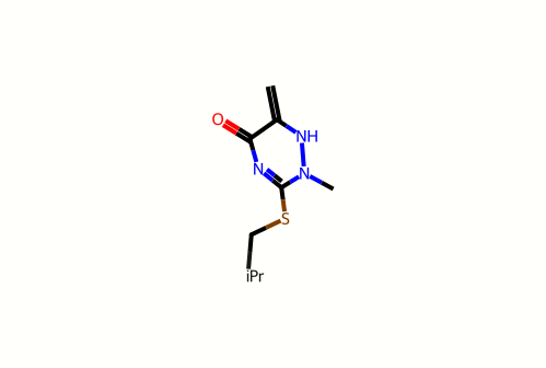 C=C1NN(C)C(SCC(C)C)=NC1=O